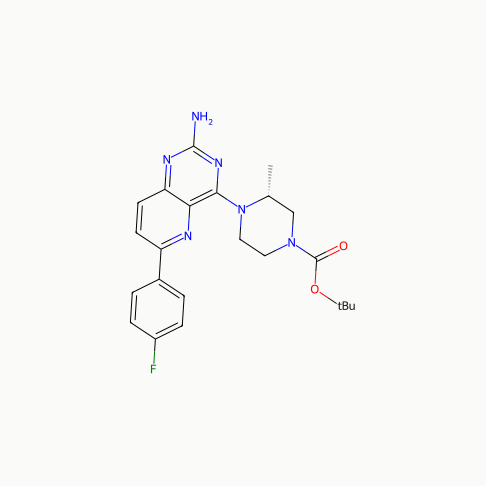 C[C@@H]1CN(C(=O)OC(C)(C)C)CCN1c1nc(N)nc2ccc(-c3ccc(F)cc3)nc12